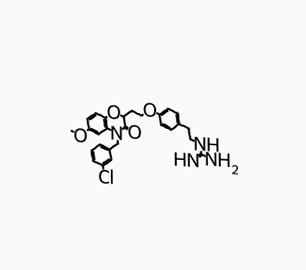 COc1ccc2c(c1)N(Cc1cccc(Cl)c1)C(=O)C(CCOc1ccc(CCNC(=N)N)cc1)O2